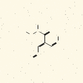 C=N/C=C(\C=N/C)C(=O)N(C)OC